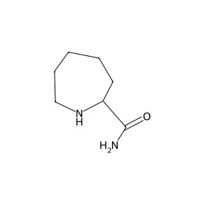 NC(=O)C1CCCCCN1